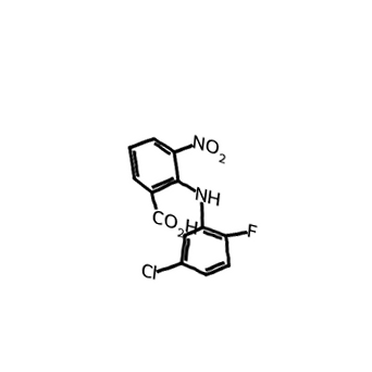 O=C(O)c1cccc([N+](=O)[O-])c1Nc1cc(Cl)ccc1F